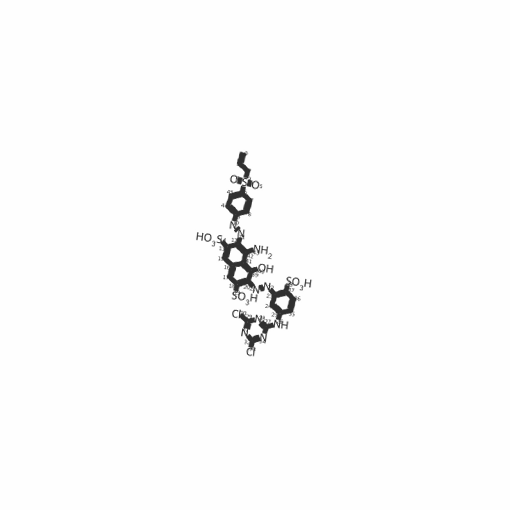 C=CCS(=O)(=O)c1ccc(/N=N/c2c(S(=O)(=O)O)cc3cc(S(=O)(=O)O)c(/N=N/c4cc(Nc5nc(Cl)nc(Cl)n5)ccc4S(=O)(=O)O)c(O)c3c2N)cc1